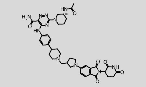 CC(=O)N[C@@H]1CCCN(c2nnc(C(N)=O)c(Nc3ccc(C4CCN(CC5CCN(c6ccc7c(c6)C(=O)N(C6CCC(=O)NC6=O)C7=O)C5)CC4)cc3)n2)C1